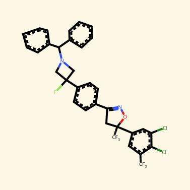 FC(F)(F)c1cc(C2(C(F)(F)F)CC(c3ccc(C4(F)CN(C(c5ccccc5)c5ccccc5)C4)cc3)=NO2)cc(Cl)c1Cl